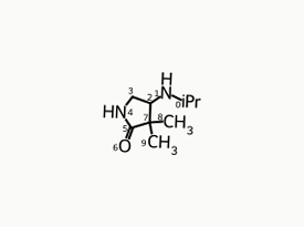 CC(C)NC1CNC(=O)C1(C)C